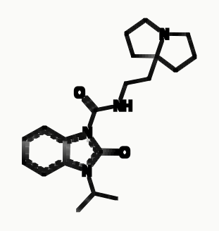 CC(C)n1c(=O)n(C(=O)NCCC23CCCN2CCC3)c2ccccc21